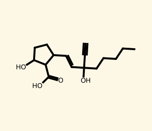 C#CC(O)(C=CC1CCC(O)C1C(=O)O)CCCCC